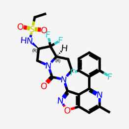 CCS(=O)(=O)N[C@@H]1CN2C(=O)N(c3noc4cc(C)nc(-c5c(F)cccc5F)c34)CC[C@@H]2C1(F)F